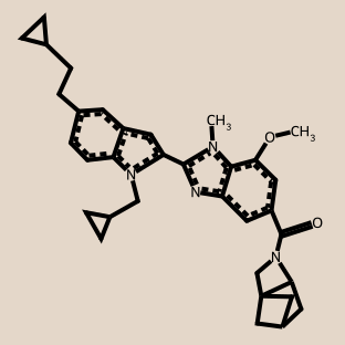 COc1cc(C(=O)N2CC34CC(CC23)C4)cc2nc(-c3cc4cc(CCC5CC5)ccc4n3CC3CC3)n(C)c12